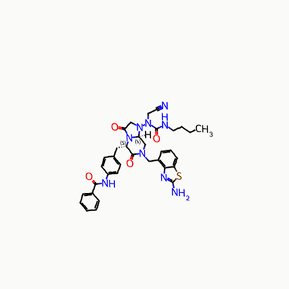 CCCCNC(=O)N(CC#N)N1CC(=O)N2[C@@H](Cc3ccc(NC(=O)c4ccccc4)cc3)C(=O)N(Cc3cccc4sc(N)nc34)C[C@@H]21